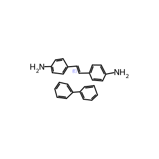 Nc1ccc(/C=C/c2ccc(N)cc2)cc1.c1ccc(-c2ccccc2)cc1